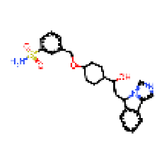 NS(=O)(=O)c1cccc(COC2CCC(C(O)CC3c4ccccc4-c4cncn43)CC2)c1